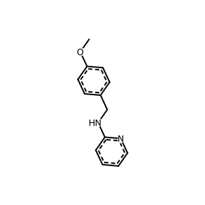 COc1ccc(CNc2ccccn2)cc1